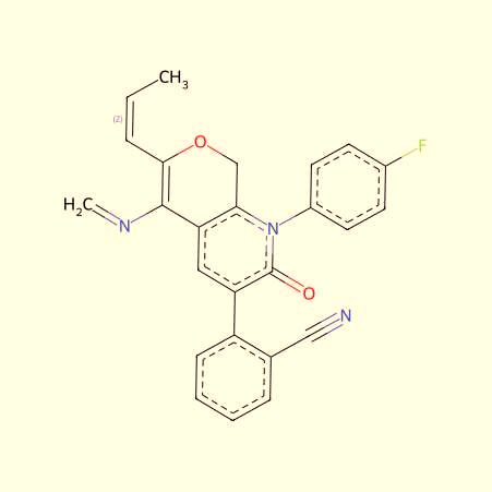 C=NC1=C(/C=C\C)OCc2c1cc(-c1ccccc1C#N)c(=O)n2-c1ccc(F)cc1